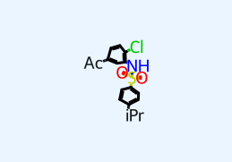 CC(=O)c1ccc(Cl)c(NS(=O)(=O)c2ccc(C(C)C)cc2)c1